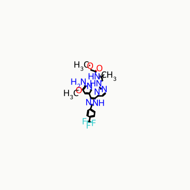 COCC(=O)N[C@@H](C)CNc1nccc(-c2[nH]c(-c3ccc(C(F)(F)F)cc3)nc2-c2cnc(N)c(OC)c2)n1